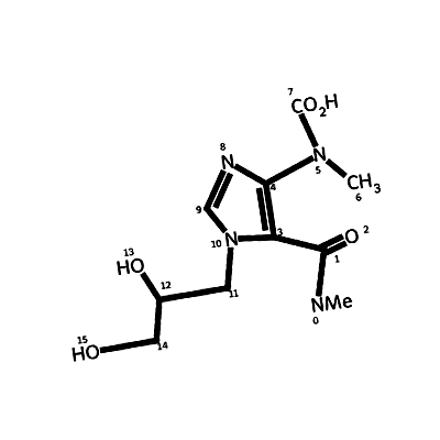 CNC(=O)c1c(N(C)C(=O)O)ncn1CC(O)CO